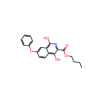 CCCCOC(=O)c1nc(O)c2cc(Oc3ccccc3)ccc2c1O